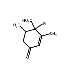 CC1=CC(=O)CC(C)C1(C(=O)O)C(C)C